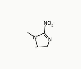 CN1[C]CN=C1[N+](=O)[O-]